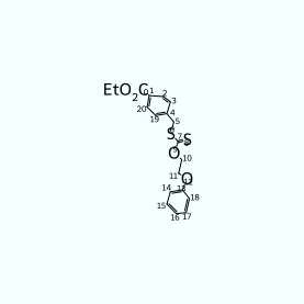 CCOC(=O)c1ccc(CSC(=S)OCCOc2ccccc2)cc1